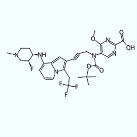 COc1nc(C(=O)O)ncc1N(CC#Cc1cc2c(N[C@@H]3CCN(C)C[C@@H]3F)cccn2c1CC(F)(F)F)C(=O)OC(C)(C)C